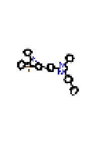 c1ccc(-c2ccc(-c3cc(-c4ccccc4)nc(-c4ccc(-c5ccc6c(c5)nc(-c5ccccc5)c5c7ccccc7sc65)cc4)n3)cc2)cc1